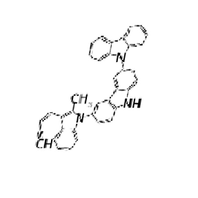 C#C/C=C\c1c(C)n(-c2ccc3[nH]c4ccc(-n5c6ccccc6c6ccccc65)cc4c3c2)c2ccccc12